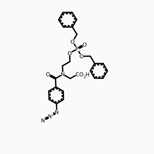 [N-]=[N+]=Nc1ccc(C(=O)N(CCOP(=O)(OCc2ccccc2)OCc2ccccc2)CC(=O)O)cc1